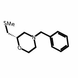 CSC[C@@H]1CN(Cc2ccccc2)CCO1